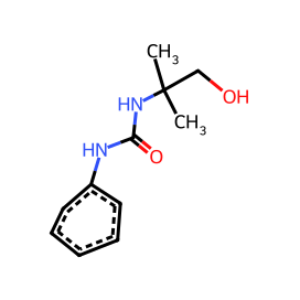 CC(C)(CO)NC(=O)Nc1ccccc1